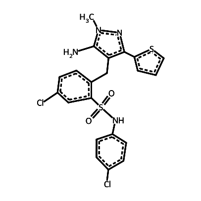 Cn1nc(-c2cccs2)c(Cc2ccc(Cl)cc2S(=O)(=O)Nc2ccc(Cl)cc2)c1N